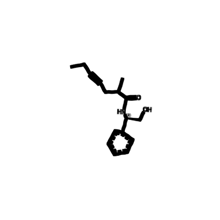 CCC#CCC(C)C(=O)N[C@@H](CO)c1ccccc1